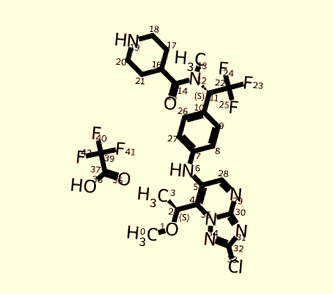 CO[C@@H](C)c1c(Nc2ccc([C@H](N(C)C(=O)C3CCNCC3)C(F)(F)F)cc2)cnc2nc(Cl)nn12.O=C(O)C(F)(F)F